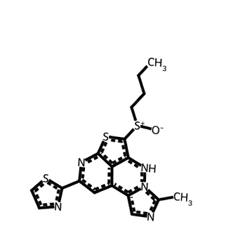 CCCC[S+]([O-])c1sc2nc(-c3nccs3)cc3c2c1[nH]n1c(C)ncc31